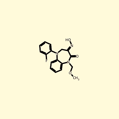 COCN1C(=O)/C(=N/O)CN(c2ccccc2F)c2ccccc21